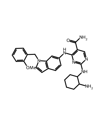 COc1ccccc1Cn1ccc2ccc(Nc3nc(NC4CCCCC4N)ncc3C(N)=O)cc21